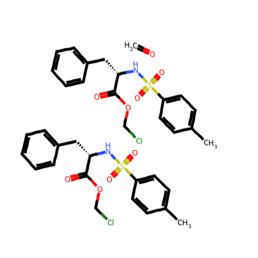 C=O.Cc1ccc(S(=O)(=O)N[C@@H](Cc2ccccc2)C(=O)OCCl)cc1.Cc1ccc(S(=O)(=O)N[C@@H](Cc2ccccc2)C(=O)OCCl)cc1